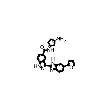 N[C@H]1CC[C@H](NC(=O)c2ccc3[nH]nc(-c4nc5ccc(-c6ccco6)cc5[nH]4)c3c2)C1